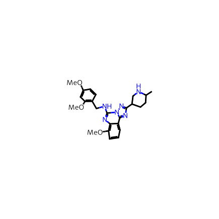 COc1ccc(CNc2nc3c(OC)cccc3c3nc(C4CCC(C)NC4)nn23)c(OC)c1